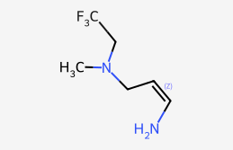 CN(C/C=C\N)CC(F)(F)F